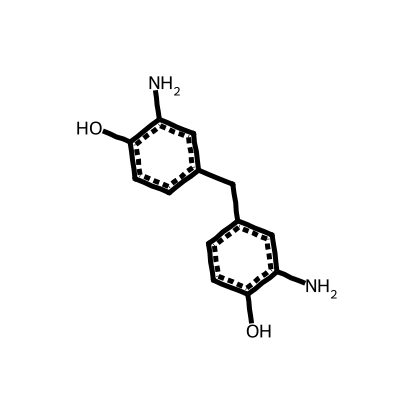 Nc1cc(Cc2ccc(O)c(N)c2)ccc1O